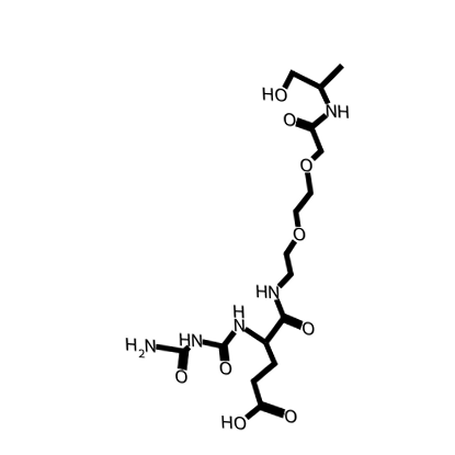 CC(CO)NC(=O)COCCOCCNC(=O)C(CCC(=O)O)NC(=O)NC(N)=O